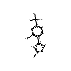 Cn1cnc(-c2ccc(C(C)(C)C)cc2F)n1